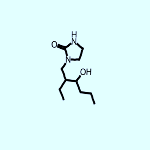 CCCC(O)C(CC)CN1CCNC1=O